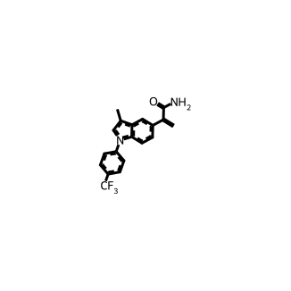 C=C(C(N)=O)c1ccc2c(c1)c(C)cn2-c1ccc(C(F)(F)F)cc1